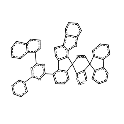 c1ccc(-c2nc(-c3cccc4c3-c3ccc5c(sc6ccccc65)c3C43c4ccccc4C4(c5ccccc5-c5ccccc54)c4ccccc43)nc(-c3cccc4ccccc34)n2)cc1